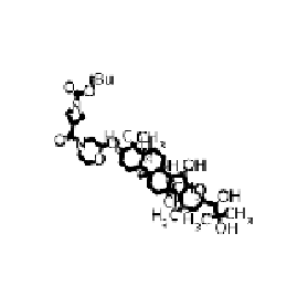 C[C@@H]1CC([C@H](O)C(C)(C)O)OC2C1[C@@]1(C)CCC34C[C@@]35CC[C@H](OC3CN(C(=O)C6CN(C(=O)OC(C)(C)C)C6)CCO3)C(C)(C)[C@@H]5CC[C@H]4[C@]1(C)[C@H]2O